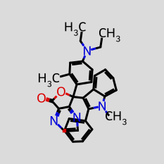 CCN(CC)c1ccc(C2(c3c(-c4ccccc4)n(C)c4ccccc34)OC(=O)c3nccnc32)c(C)c1